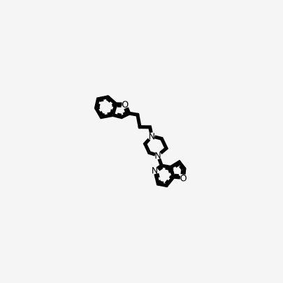 c1ccc2oc(CCCN3CCN(c4nccc5occc45)CC3)cc2c1